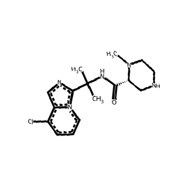 CN1CCNC[C@@H]1C(=O)NC(C)(C)c1ncc2c(Cl)cccn12